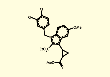 CCOC(=O)c1c(C2CC2C(=O)OC)c2cc(OC)ccc2n1Cc1ccc(Cl)c(Cl)c1